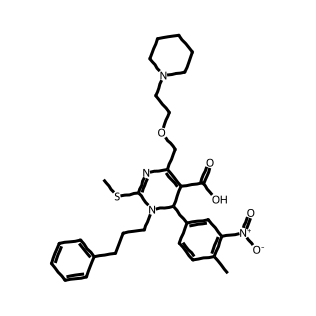 CSC1=NC(COCCN2CCCCC2)=C(C(=O)O)C(c2ccc(C)c([N+](=O)[O-])c2)N1CCCc1ccccc1